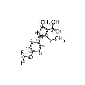 CCc1c(C(=O)O)c(C)nn1-c1ccc(OC(F)F)cc1